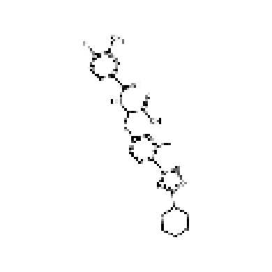 Cc1cc(C(=O)NC(Cc2ccc(-c3noc(C4CCCCC4)n3)c(F)c2)C(=O)O)ccc1F